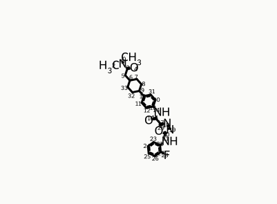 CN(C)C(=O)CC1CCC(c2ccc(NC(=O)c3nnc(Nc4ccccc4F)o3)cc2)CC1